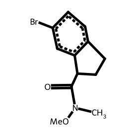 CON(C)C(=O)C1CCc2ccc(Br)cc21